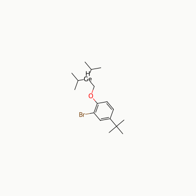 C[CH](C)[GeH]([CH2]Oc1ccc(C(C)(C)C)cc1Br)[CH](C)C